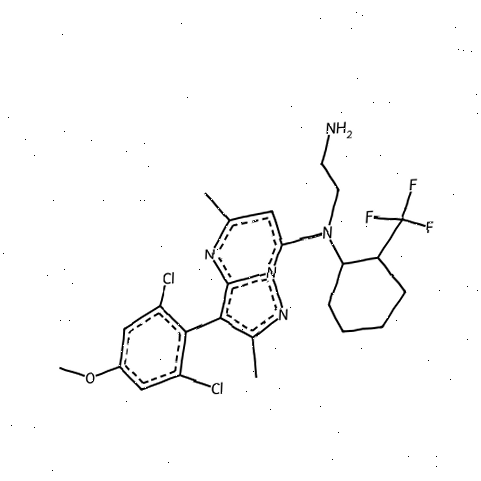 COc1cc(Cl)c(-c2c(C)nn3c(N(CCN)C4CCCCC4C(F)(F)F)cc(C)nc23)c(Cl)c1